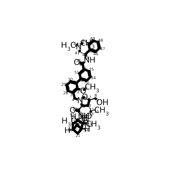 COc1c(CN2O[C@@H](CO)[C@H]([C@H](C)O)[C@H]2C(=O)N[C@H]2C[C@H]3C[C@@H]([C@@H]2C)C3(C)C)cccc1-c1cccc(C(=O)N[C@H](CN(C)C)c2ccccc2)c1